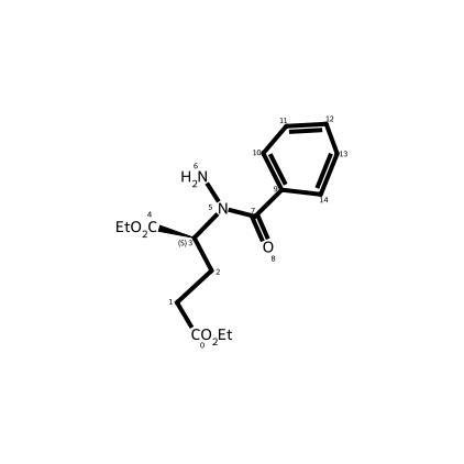 CCOC(=O)CC[C@@H](C(=O)OCC)N(N)C(=O)c1ccccc1